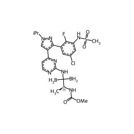 BC(B)(Nc1nccc(-c2cn(C(C)C)nc2-c2cc(Cl)cc(NS(C)(=O)=O)c2F)n1)[C@H](C)NC(=O)OC